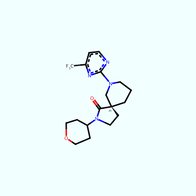 O=C1N(C2CCOCC2)CC[C@@]12CCCN(c1nccc(C(F)(F)F)n1)C2